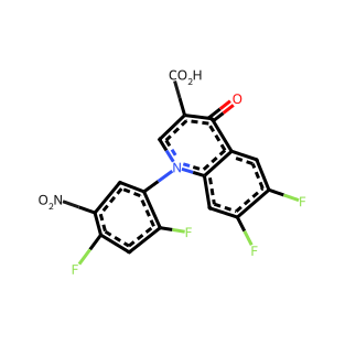 O=C(O)c1cn(-c2cc([N+](=O)[O-])c(F)cc2F)c2cc(F)c(F)cc2c1=O